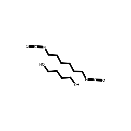 O=C=NCCCCCCN=C=O.OCCCCO